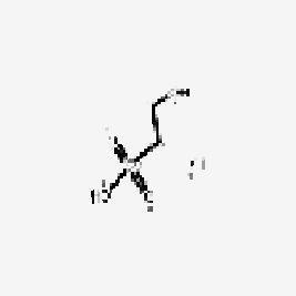 O=S(=O)(O)CCO.[KH]